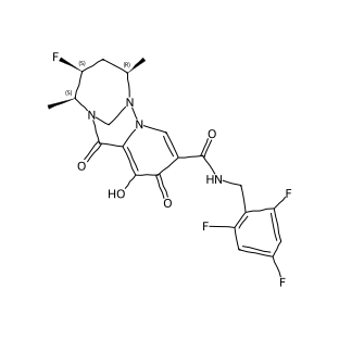 C[C@@H]1C[C@H](F)[C@H](C)N2CN1n1cc(C(=O)NCc3c(F)cc(F)cc3F)c(=O)c(O)c1C2=O